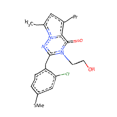 CSc1ccc(-c2nn3c(C)cc(C(C)C)c3c(=O)n2CCO)c(Cl)c1